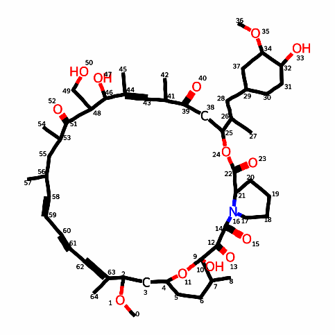 COC1CC2CCC(C)C(O)(O2)C(=O)C(=O)N2CCCCC2C(=O)OC(C(C)CC2CCC(O)C(OC)C2)CC(=O)C(C)/C=C(\C)C(O)C(CO)C(=O)C(C)CC(C)/C=C/C=C/C=C/1C